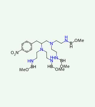 COBNCCN(CCNBOC)CC(Cc1ccc([N+](=O)[O-])cc1)N(CCNBOC)CCNBOC